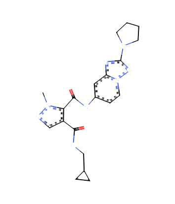 Cn1ncc(C(=O)NCC2CC2)c1C(=O)Nc1ccn2nc(N3CCCC3)nc2c1